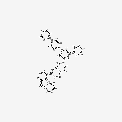 C1=C(c2cccc3oc4ccccc4c23)CCc2ccc(-c3nc(-c4ccccc4)nc(-c4ccc(-c5ccccc5)cc4)n3)cc21